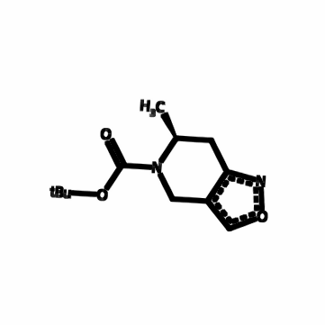 C[C@H]1Cc2nocc2CN1C(=O)OC(C)(C)C